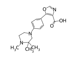 CN1CCN(c2ccc(-c3ocnc3C(=O)O)cc2)CC1(C)C